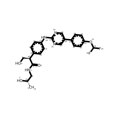 C[C@H](O)CNC(=O)[C@@H](CO)c1ccc(Nc2ncc(-c3ccc(OC(F)F)cc3)cn2)cc1